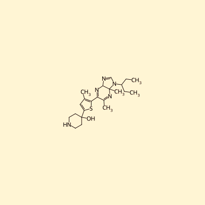 CCC(CC)N1C=NC2N=C(c3sc(C4(O)CCNCC4)cc3C)C(C)=NC21C